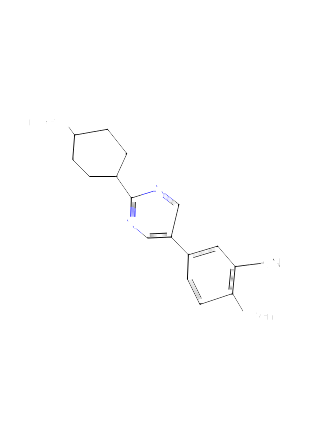 CCCCCc1ccc(-c2cnc(C3CCC(CCCCC)CC3)nc2)cc1C#N